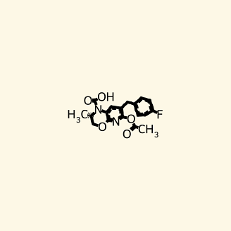 CC(=O)Oc1nc2c(cc1Cc1ccc(F)cc1)N(C(=O)O)[C@@H](C)CO2